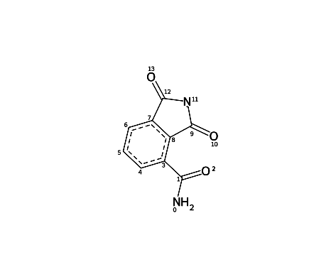 NC(=O)c1cccc2c1C(=O)[N]C2=O